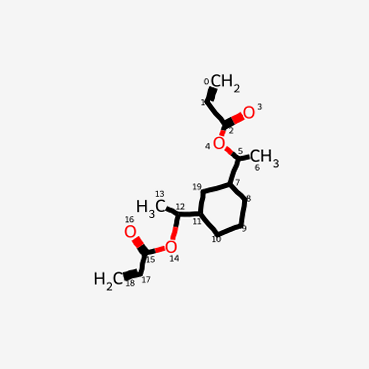 C=CC(=O)OC(C)C1CCCC(C(C)OC(=O)C=C)C1